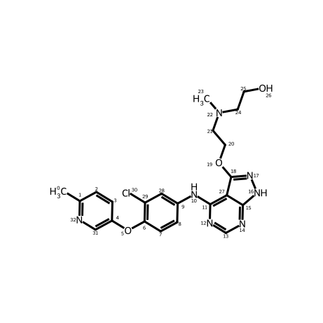 Cc1ccc(Oc2ccc(Nc3ncnc4[nH]nc(OCCN(C)CCO)c34)cc2Cl)cn1